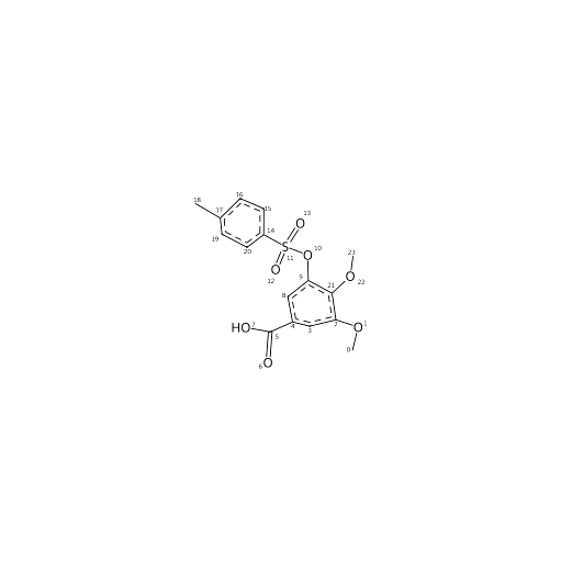 COc1cc(C(=O)O)cc(OS(=O)(=O)c2ccc(C)cc2)c1OC